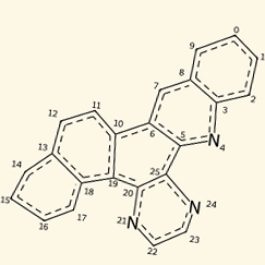 c1ccc2nc3c(cc2c1)c1ccc2ccccc2c1c1nccnc31